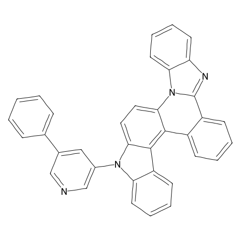 c1ccc(-c2cncc(-n3c4ccccc4c4c5c6ccccc6c6nc7ccccc7n6c5ccc43)c2)cc1